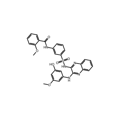 COc1cc(O)cc(Nc2nc3ccccc3nc2NS(=O)(=O)c2cccc(NC(=O)c3ccccc3OC)c2)c1